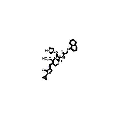 O=C(CSc1cccc2ccccc12)N[C@@H]1C(=O)N2C(C(=O)O)=C(/C=C3\CCN(C4CC4)C3=O)CS[C@H]12.c1c[nH]cn1